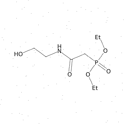 CCOP(=O)(CC(=O)NCCO)OCC